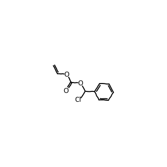 C=COC(=O)OC(Cl)c1ccccc1